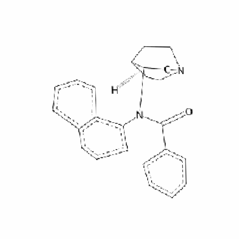 O=C(c1ccccc1)N(c1cccc2ccccc12)[C@@H]1CN2CCC1CC2